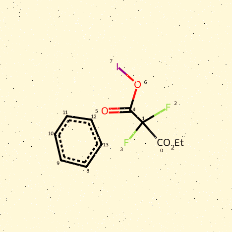 CCOC(=O)C(F)(F)C(=O)OI.c1ccccc1